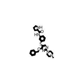 CN1CCN(c2ncc(Sc3cccc(NC(=O)C4CCCN4)c3)c(OCc3ccccc3)n2)CC1